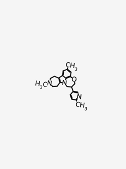 Cc1cc2c3c(c1)c1c(n3CC(c3ccc(C)nc3)CO2)CCN(C)CC1